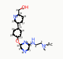 CC(=O)N(C)CCNc1cncc(Oc2ccc(-c3ccc(CO)nc3)cc2)n1